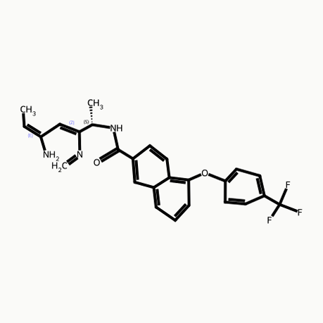 C=N/C(=C\C(N)=C/C)[C@H](C)NC(=O)c1ccc2c(Oc3ccc(C(F)(F)F)cc3)cccc2c1